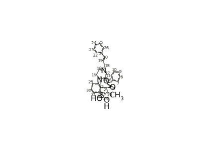 CC1C(S(=O)(=O)c2ccccc2)c2c(N3CCN(CC=Cc4ccccc4)CC3)cccc2S1(O)O